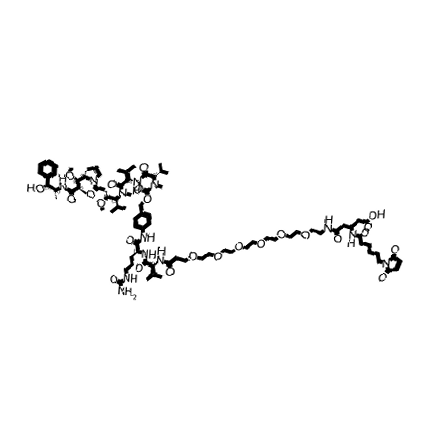 CO[C@H]([C@@H](C)C(=O)N[C@H](C)[C@@H](O)c1ccccc1)[C@@H]1CCCN1C(=O)C[C@@H](OC)[C@H](C(C)C)N(C)C(=O)[C@@H](NC(=O)[C@H](C(C)C)N(C)C(=O)OCc1ccc(NC(=O)[C@H](CCCNC(N)=O)NC(=O)[C@@H](NC(=O)CCOCCOCCOCCOCCOCCOCCNC(=O)CC(CC(=O)O)NC(=O)CCCCCN2C(=O)C=CC2=O)C(C)C)cc1)C(C)C